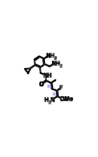 CO/C(N)=C(F)/C=C(\C)C(=O)NCc1c(C2CC2)ccc(N)c1CN